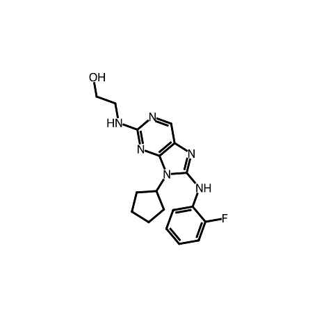 OCCNc1ncc2nc(Nc3ccccc3F)n(C3CCCC3)c2n1